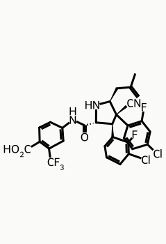 C=C(C)C[C@@H]1N[C@@H](C(=O)Nc2ccc(C(=O)O)c(C(F)(F)F)c2)[C@H](c2cccc(Cl)c2F)[C@@]1(C#N)c1ccc(Cl)cc1F